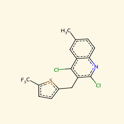 Cc1ccc2nc(Cl)c(Cc3ccc(C(F)(F)F)s3)c(Cl)c2c1